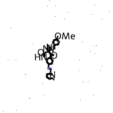 COc1ccc(Cn2nnc3c(=O)[nH]c4cc(/C=C/c5cccc(C)n5)ccc4c(=O)c32)cc1